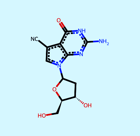 N#Cc1cn(C2C[C@H](O)[C@@H](CO)O2)c2nc(N)[nH]c(=O)c12